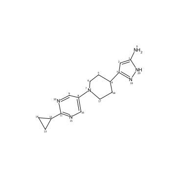 Nc1cc(C2CCN(c3cnc(C4CC4)nc3)CC2)n[nH]1